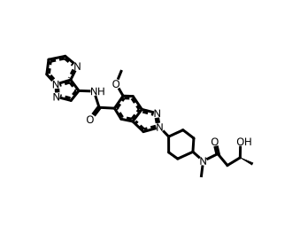 COc1cc2nn(C3CCC(N(C)C(=O)C[C@H](C)O)CC3)cc2cc1C(=O)Nc1cnn2cccnc12